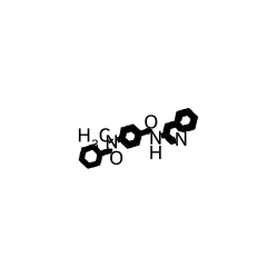 CN(C(=O)C1CCCCC1)c1ccc(C(=O)Nc2cnc3ccccc3c2)cc1